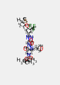 CSc1ccccc1Oc1ccc(-c2noc(CN3C(=O)N(CCC4CCOCC4)C4(CCN(C(=O)OC(C)(C)C)CC4)C3=O)n2)cc1C(F)(F)F